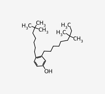 CCC(C)(C)CCCCCCc1cc(O)ccc1CCCCCC(C)(C)C